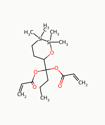 C=CC(=O)OC(CCC)(OC(=O)C=C)C1CC[Si](C)(C)[Si](C)(C)O1